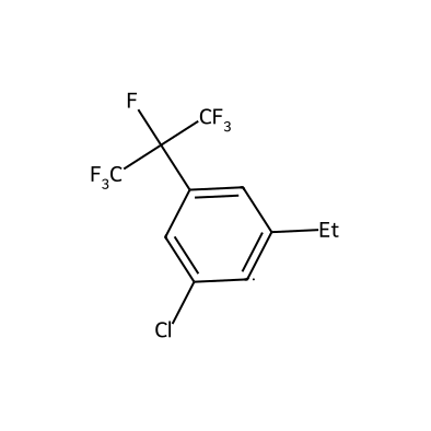 CCc1[c]c(Cl)cc(C(F)(C(F)(F)F)C(F)(F)F)c1